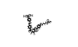 C=CC(=O)OCCCCOc1ccc(C(=O)OC(=C)/C(C)=C(/C)C(=C)OC(=O)c2ccc(COc3ccc(B(O)O)cc3)cc2)cc1